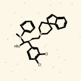 CCCCC([C@@H](CCN1CCC2(C=Cc3ccccc32)CC1)c1ccc(Cl)c(Cl)c1)N(C)c1ccccc1